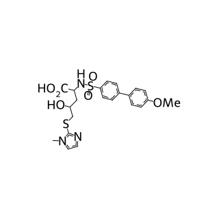 COc1ccc(-c2ccc(S(=O)(=O)NC(CC(O)CSc3nccn3C)C(=O)O)cc2)cc1